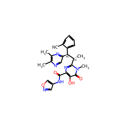 Cc1ncc([C@@H](c2ccccc2C#N)[C@H](C)c2nc(C(=O)Nc3cnoc3)c(O)c(=O)n2C)nc1C